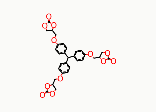 O=C1OCC(COc2ccc(C(c3ccc(OCC4COC(=O)O4)cc3)c3ccc(OCC4COC(=O)O4)cc3)cc2)O1